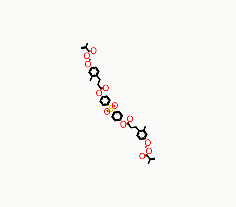 C=C(C)C(=O)OCOc1ccc(CCC(=O)Oc2ccc(S(=O)(=O)c3ccc(OC(=O)CCc4ccc(OCOC(=O)C(=C)C)cc4C)cc3)cc2)c(C)c1